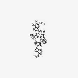 Cc1nc2c(ncn2[C@@]23C[C@H]2[C@@H]2COP(=O)(O)O[C@H]4[C@@H](F)[C@H](n5cnc6c(N)ncnc65)O[C@@H]4COP(=O)(O)O[C@@H]3[C@@H]2O)c(=O)[nH]1